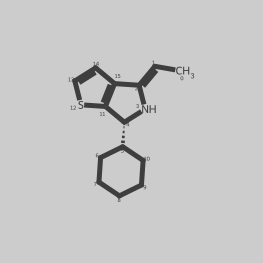 C/C=C1\N[C@H](C2CCCCC2)c2sccc21